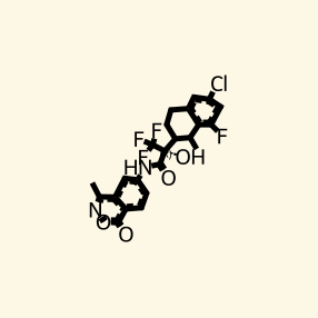 Cc1noc(=O)c2ccc(NC(=O)[C@](O)(C3CCc4cc(Cl)cc(F)c4C3C)C(F)(F)F)cc12